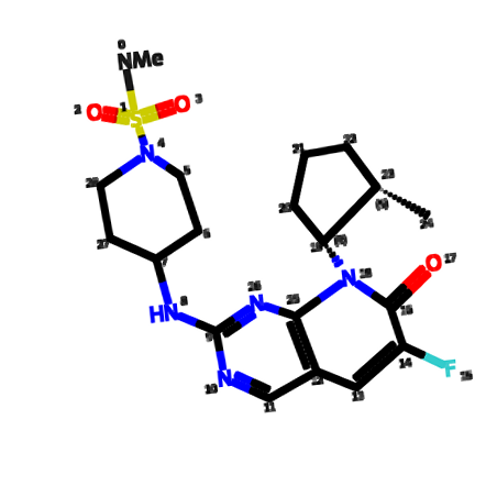 CNS(=O)(=O)N1CCC(Nc2ncc3cc(F)c(=O)n([C@@H]4CCC[C@@H]4C)c3n2)CC1